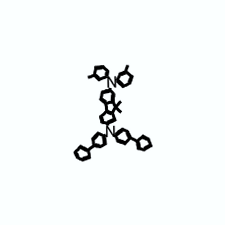 Cc1cccc(N(c2cccc(C)c2)c2ccc3c(c2)C(C)(C)c2cc(N(c4ccc(-c5ccccc5)cc4)c4ccc(-c5ccccc5)cc4)ccc2-3)c1